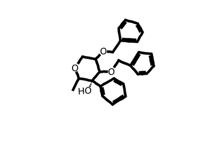 CC1OCC(OCc2ccccc2)C(OCc2ccccc2)[C@@]1(O)c1ccccc1